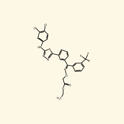 CCOC(=O)CO/N=C(/c1cccc(-c2nnc(Nc3ccc(Cl)c(Cl)c3)s2)c1)c1cccc(C(F)(F)F)c1